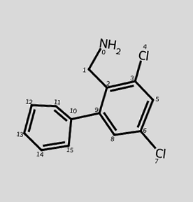 NCc1c(Cl)cc(Cl)cc1-c1ccccc1